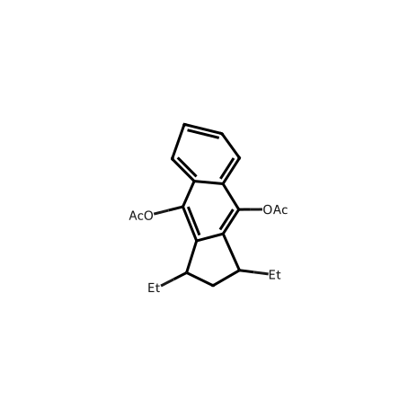 CCC1CC(CC)c2c1c(OC(C)=O)c1ccccc1c2OC(C)=O